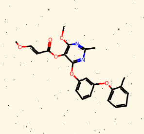 COC=CC(=O)Oc1c(OC)nc(C)nc1Oc1cccc(Oc2ccccc2C)c1